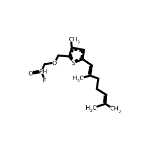 CC(C)=CCC/C(C)=C/c1cc(C)c(COC[PH](=O)F)s1